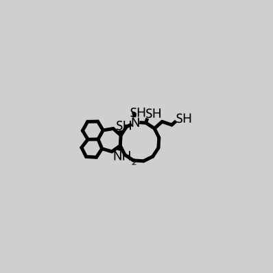 NC12CCCCCCC(CCS)C(S)N(S)CC1(S)CC1CCCC3CCCC(C2)C31